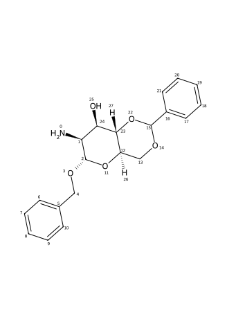 N[C@@H]1[C@@H](OCc2ccccc2)O[C@@H]2COC(c3ccccc3)O[C@H]2[C@@H]1O